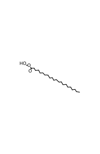 CCCCCCCCCCCCCCCCCCCCCC(=O)OCO